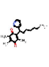 CC1=C(C)C(=O)C(C(CCCCCC(=O)O)c2cccnc2)=C(C)C1=O